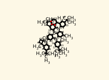 Cc1cc2c3c(c1)N(c1ccc(C(C)(C)C)cc1-c1ccccc1)c1cc4c(cc1B3c1ccc(N3c5ccc(C(C)(C)C)cc5C5(C)CCC35C)cc1N2c1ccc(C(C)(C)C)cc1C)CC(C)(C)C4